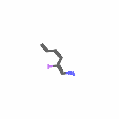 C=C/C=C\C(I)=C/N